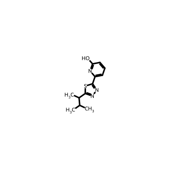 CC(C)C(C)c1nnc(-c2cccc(O)n2)s1